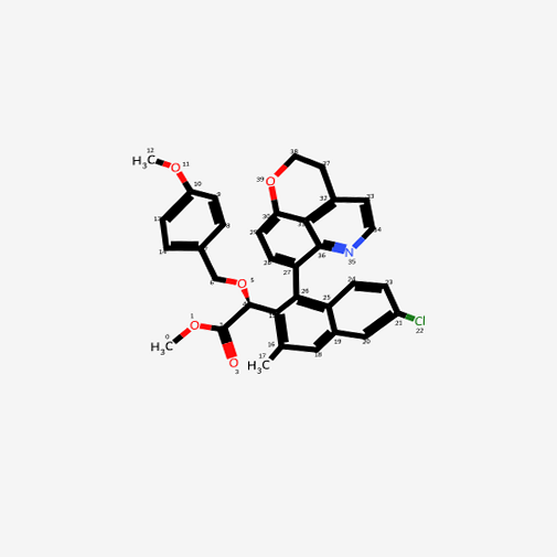 COC(=O)[C@@H](OCc1ccc(OC)cc1)c1c(C)cc2cc(Cl)ccc2c1-c1ccc2c3c(ccnc13)CCO2